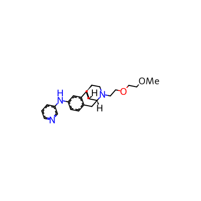 COCCOCCN1CC[C@]23CCCC[C@H]2[C@H]1Cc1ccc(Nc2cccnc2)cc13